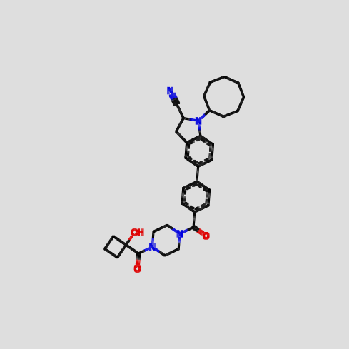 N#CC1Cc2cc(-c3ccc(C(=O)N4CCN(C(=O)C5(O)CCC5)CC4)cc3)ccc2N1C1CCCCCCC1